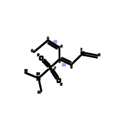 C=N/C=C(\C=C/C)S(=O)(=O)N(C)C